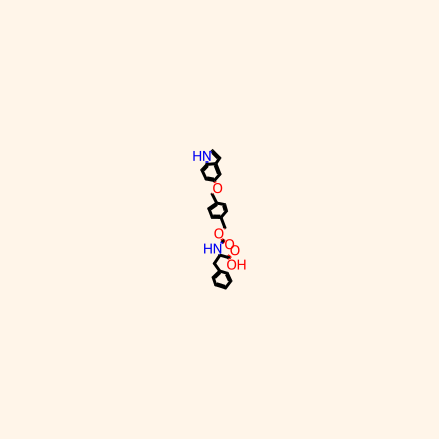 O=C(NC(Cc1ccccc1)C(=O)O)OCc1ccc(COc2ccc3[nH]ccc3c2)cc1